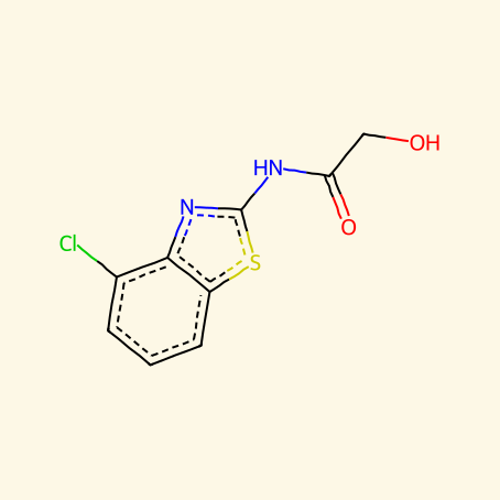 O=C(CO)Nc1nc2c(Cl)cccc2s1